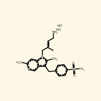 Cc1cc2c(cn1)c(Cc1ccc(S(C)(=O)=O)cc1)c(C)n2C/C(F)=C/CN.Cl.Cl